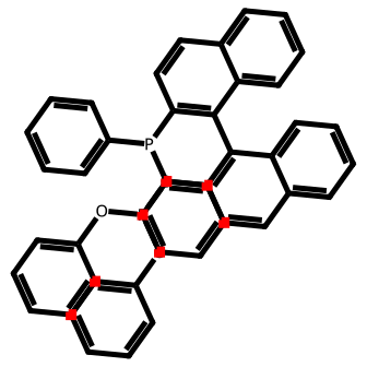 c1ccc(OP(Oc2ccccc2)Oc2ccc3ccccc3c2-c2c(P(c3ccccc3)c3ccccc3)ccc3ccccc23)cc1